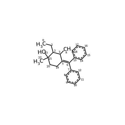 CCC1C(C)C(=C(c2ccccc2)c2ccccc2)CCC1(C)O